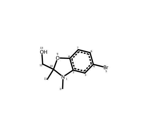 CN1c2cc(Br)ccc2OC1(C)CO